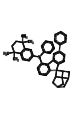 CC1(C)CCC(C)(C)c2cc(N(c3ccccc3)c3cccc4c3-c3cc(-c5ccccc5)ccc3C43C4CC5CC6CC3C64C5)ccc21